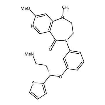 CNCC[C@H](Oc1cccc(N2CCN(C)c3cc(OC)ncc3C2=O)c1)c1cccs1